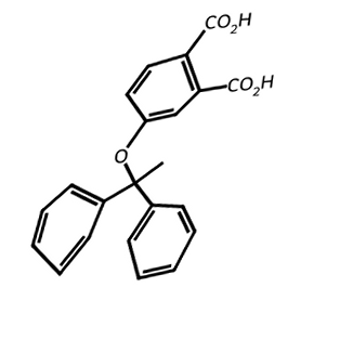 CC(Oc1ccc(C(=O)O)c(C(=O)O)c1)(c1ccccc1)c1ccccc1